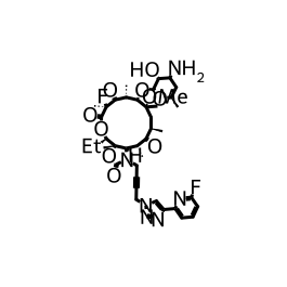 CC[C@H]1OC(=O)[C@@](C)(F)C(=O)[C@H](C)[C@@H](O[C@@H]2O[C@H](C)CC(N)C2O)[C@](C)(OC)C[C@@H](C)C(=O)[C@H](C)[C@H]2N(CC#CCn3cc(-c4cccc(F)n4)nn3)C(=O)O[C@]12C